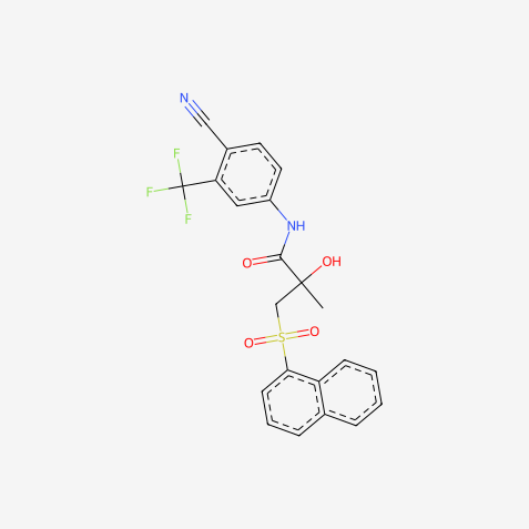 CC(O)(CS(=O)(=O)c1cccc2ccccc12)C(=O)Nc1ccc(C#N)c(C(F)(F)F)c1